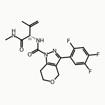 C=C(C)[C@H](NC(=O)n1nc(-c2cc(F)c(F)cc2F)c2c1CCOC2)C(=O)NC